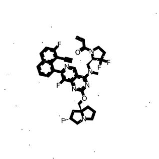 C#Cc1c(F)ccc2cccc(-c3ncc4c(N(C)C[C@H]5N(C(=O)C=C)CCC5(F)F)nc(OC[C@@]56CCCN5C[C@H](F)C6)nc4c3F)c12